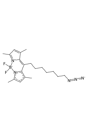 CC1=CC(C)=[N+]2C1=C(CCCCCCCN=[N+]=[N-])c1c(C)cc(C)n1[B-]2(F)F